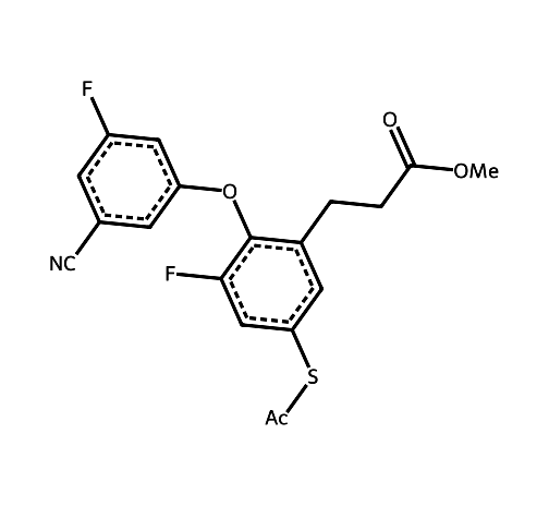 COC(=O)CCc1cc(SC(C)=O)cc(F)c1Oc1cc(F)cc(C#N)c1